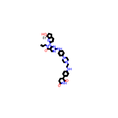 C=CCn1c(=O)c2cnc(Nc3ccc(N4CCN(CCNc5ccc(C6CCC(=O)NC6=O)cc5)CC4)cc3)nc2n1-c1ccc2c(n1)[C@@](O)(CC)CC2